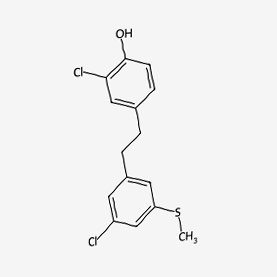 CSc1cc(Cl)cc(CCc2ccc(O)c(Cl)c2)c1